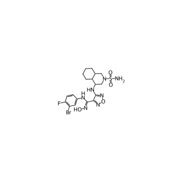 NS(=O)(=O)N1CC2CCCCC2C(Nc2nonc2/C(=N/O)Nc2ccc(F)c(Br)c2)C1